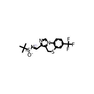 CC(C)(C)[S@+]([O-])/N=C/c1ncn2c1CSc1cc(C(F)(F)F)ccc1-2